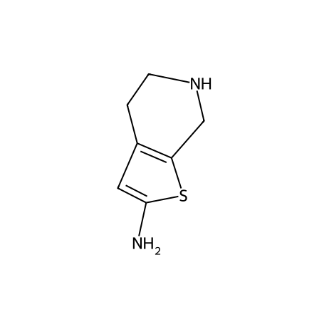 Nc1cc2c(s1)CNCC2